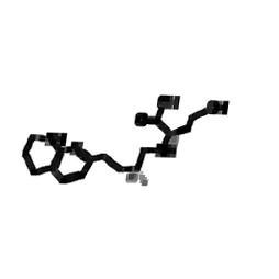 C[C@H](CCc1ccc2c(n1)NCCC2)CN[C@H](CCO)C(=O)O